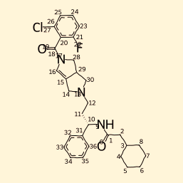 O=C(CC1CCCCC1)N[C@@H](CCN1CC2=CN(C(=O)c3c(F)cccc3Cl)CC2C1)c1ccccc1